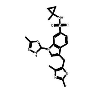 CC1=NNC(n2cc(Cc3sc(C)nc3C)c3ccc(S(=O)(=O)NC4(C)CC4)cc32)S1